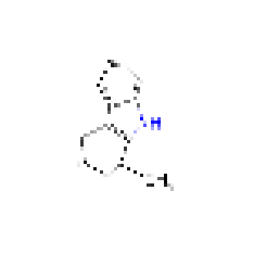 CC1C[C]Cc2c1[nH]c1ccccc21